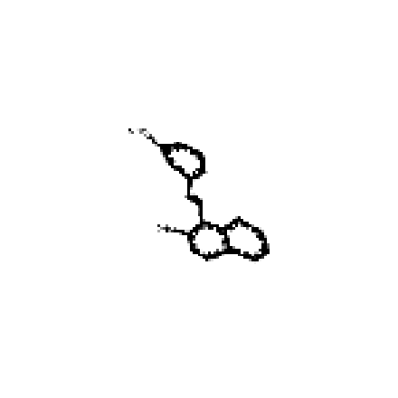 COc1cccc(C=Cc2c(C=O)ccc3ccccc23)c1